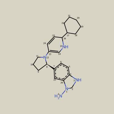 NN1CNc2ccc([C@H]3CCCN3C3=CNC(C4CCCCC4)C=C3)cc21